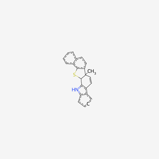 CC12C=Cc3c([nH]c4ccccc34)C1Sc1c2ccc2ccccc12